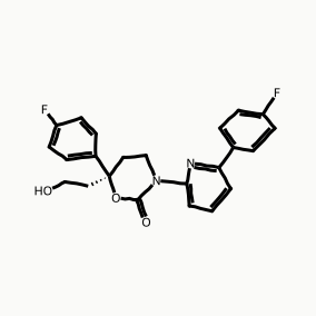 O=C1O[C@@](CCO)(c2ccc(F)cc2)CCN1c1cccc(-c2ccc(F)cc2)n1